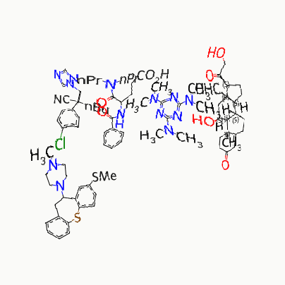 CCCCC(C#N)(Cn1cncn1)c1ccc(Cl)cc1.CCCN(CCC)C(=O)C(CCC(=O)O)NC(=O)c1ccccc1.CN(C)c1nc(N(C)C)nc(N(C)C)n1.CSc1ccc2c(c1)C(N1CCN(C)CC1)Cc1ccccc1S2.C[C@]12CCC(=O)C=C1CC[C@@H]1[C@@H]2[C@@H](O)C[C@]2(C=O)[C@@H](C(=O)CO)CC[C@@H]12